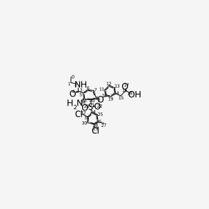 CCNC(=O)c1ccc(Oc2cccc(CC(=O)O)c2)c(S(=O)(=O)c2cc(C)c(Cl)cc2Cl)c1N